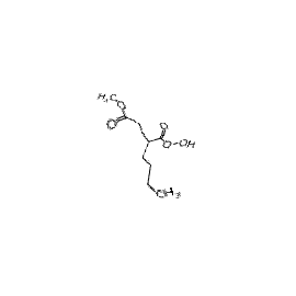 CCCCC(CCC(=O)OC)C(=O)OO